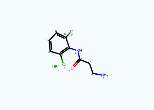 Br.NCCC(=O)Nc1c(Cl)cccc1Cl